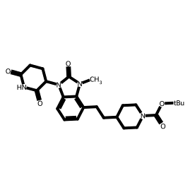 Cn1c(=O)n(C2CCC(=O)NC2=O)c2cccc(CCC3CCN(C(=O)OC(C)(C)C)CC3)c21